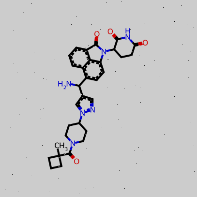 CC1(C(=O)N2CCC(n3cc(C(N)c4ccc5c6c(cccc46)C(=O)N5C4CCC(=O)NC4=O)cn3)CC2)CCC1